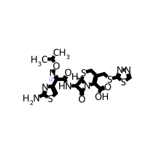 CC(C)O/N=C(\C(=O)NC1C(=O)N2C(C(=O)O)=C(CSc3nncs3)CS[C@H]12)c1csc(N)n1